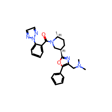 C[C@@H]1CC[C@@H](c2nc(CN(C)C)c(-c3ccccc3)o2)CN1C(=O)c1ccccc1-n1nccn1